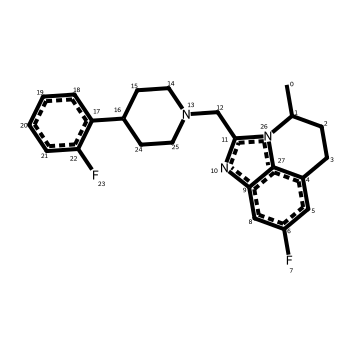 CC1CCc2cc(F)cc3nc(CN4CCC(c5ccccc5F)CC4)n1c23